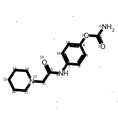 NC(=O)Oc1ccc(NC(=O)CN2CCCCC2)cc1